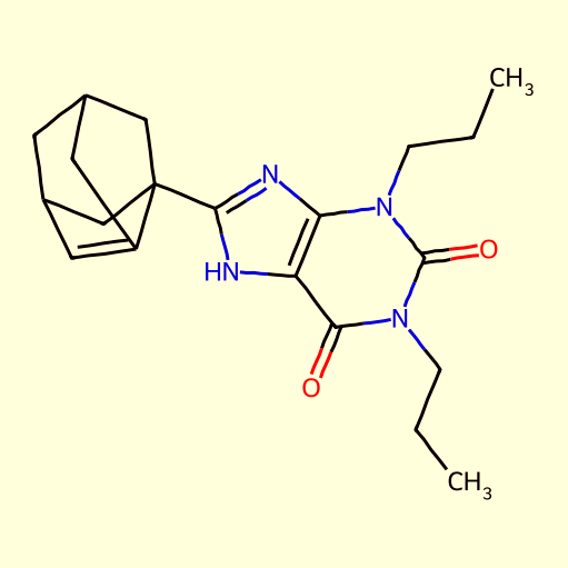 CCCn1c(=O)c2[nH]c(C34CC5C=C3CC(C5)C4)nc2n(CCC)c1=O